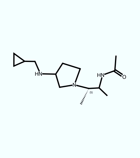 CC(=O)NC(C)[C@H](C)N1CCC(NCC2CC2)C1